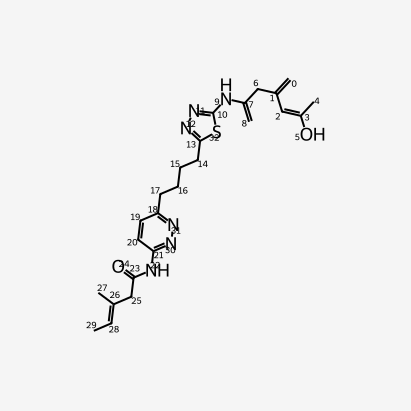 C=C(/C=C(\C)O)CC(=C)Nc1nnc(CCCCc2ccc(NC(=O)C/C(C)=C/C)nn2)s1